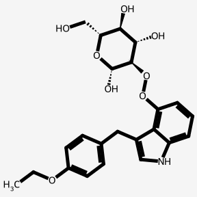 CCOc1ccc(Cc2c[nH]c3cccc(OO[C@@H]4[C@@H](O)[C@H](O)[C@@H](CO)O[C@H]4O)c23)cc1